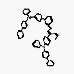 C/C=C\C(=C/Cc1cccc(-c2ccc(N(c3ccccc3)c3ccc(-c4ccccc4)cc3)cc2)c1)c1ccc(N(c2ccccc2)c2ccc(-c3ccccc3)cc2)cc1